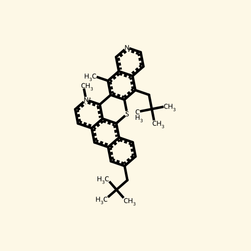 Cc1c2c(c(CC(C)(C)C)c3ccncc13)Sc1c3ccc(CC(C)(C)C)cc3cc3cc[n+](C)c-2c13